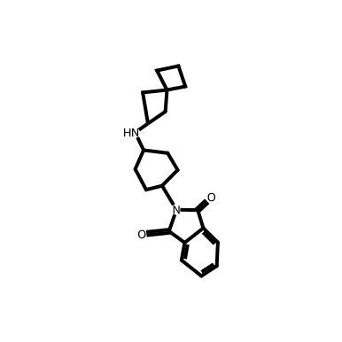 O=C1c2ccccc2C(=O)N1C1CCC(NC2CC3(CCC3)C2)CC1